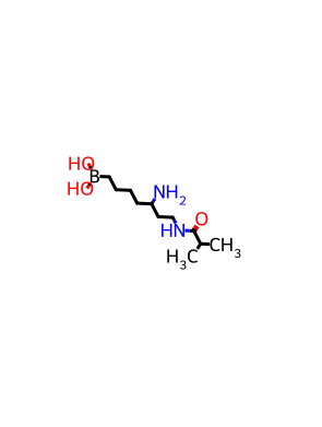 CC(C)C(=O)NCCC(N)CCCCB(O)O